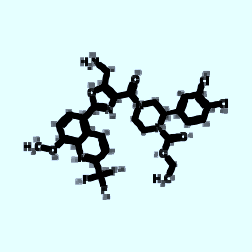 CCOC(=O)N1CCN(C(=O)c2nc(-c3ccc(OC)c4nc(C(F)(F)F)ccc34)oc2CN)C[C@H]1c1ccc(Cl)c(Cl)c1